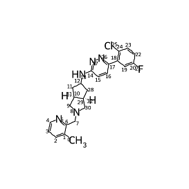 Cc1cccnc1CN1C[C@H]2CC(Nc3ccc(-c4cc(F)ccc4Cl)nn3)C[C@H]2C1